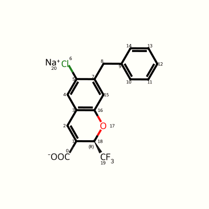 O=C([O-])C1=Cc2cc(Cl)c(Cc3ccccc3)cc2O[C@H]1C(F)(F)F.[Na+]